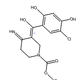 CC(C)(C)OC(=O)N1CCC(=N)/C(=C(\O)c2cc(Cl)c(O)cc2O)C1